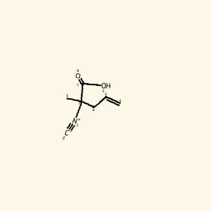 [C-]#[N+]C(C)(CC=C)C(=O)O